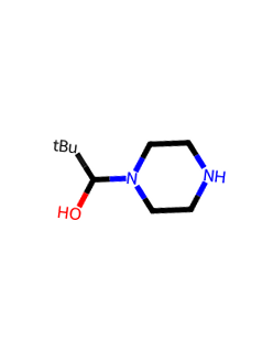 CC(C)(C)C(O)N1CCNCC1